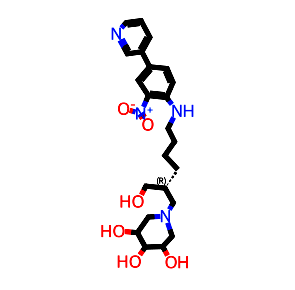 O=[N+]([O-])c1cc(-c2cccnc2)ccc1NCCCC[C@@H](CO)CN1CC(O)C(O)C(O)C1